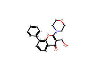 O=c1c(CO)c(N2CCOCC2)oc2c(-c3ccccc3)cccc12